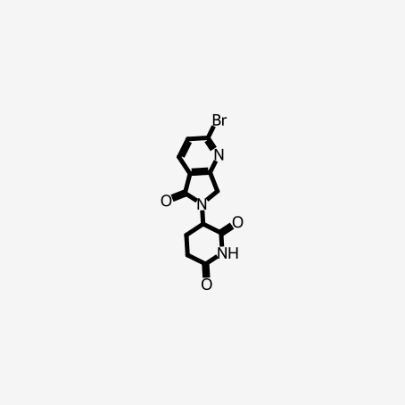 O=C1CCC(N2Cc3nc(Br)ccc3C2=O)C(=O)N1